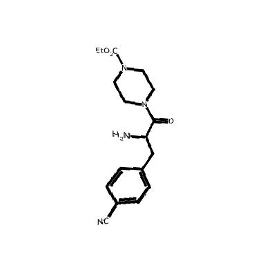 CCOC(=O)N1CCN(C(=O)C(N)Cc2ccc(C#N)cc2)CC1